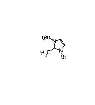 CC1N(Br)C=CN1C(C)(C)C